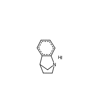 I.c1ccc2c(c1)C1CCN2C1